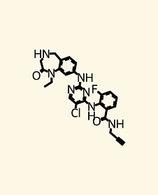 C#CCNC(=O)c1cccc(F)c1Nc1nc(Nc2ccc3c(c2)N(CC)C(=O)CNC3)ncc1Cl